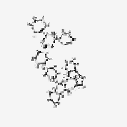 c1ccc(-c2nc(-c3ccccc3)nc(-c3cccc(-c4ccc(-n5c6ccccc6c6cc7ccn8c9ccccc9c(c65)c78)cc4)c3)n2)cc1